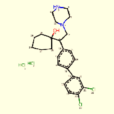 Cl.Cl.OC1(C(CN2CCNCC2)c2ccc(-c3ccc(Cl)c(Cl)c3)cc2)CCCCC1